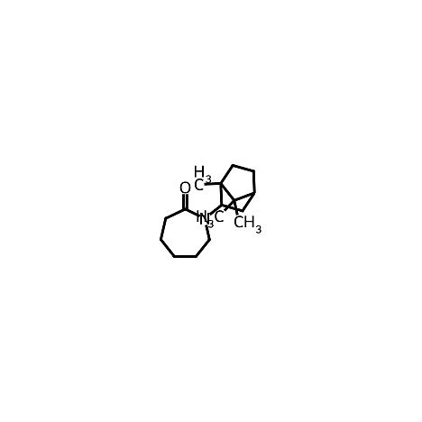 CC1(C)C2CCC1(C)C(N1CCCCCC1=O)C2